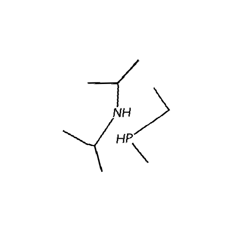 CC(C)NC(C)C.CCPC